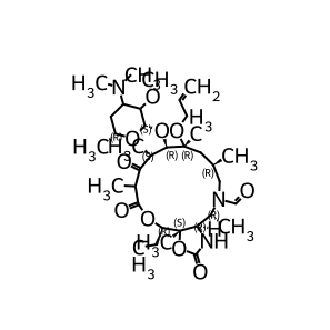 C=CCO[C@]1(C)C[C@@H](C)CN(C=O)[C@H](C)[C@H]2NC(=O)O[C@]2(C)[C@@H](CC)OC(=O)C(C)C(=O)[C@@H](C)[C@H]1O[C@@H]1O[C@H](C)CC(N(C)C)C1OC